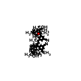 CC(C)c1cc(C#N)cc(C(C)CCC(C)c2cc(C#N)cc(C(C)C)c2NC(=O)N=S(N)(=O)c2cnc(C(C)(C)O)s2)c1NC(=O)N=S(N)(=O)c1cc(C(C)(C)O)cs1